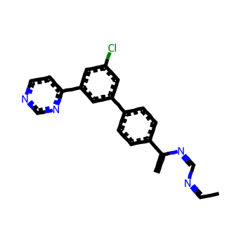 C=C(/N=C\N=C/C)c1ccc(-c2cc(Cl)cc(-c3ccncn3)c2)cc1